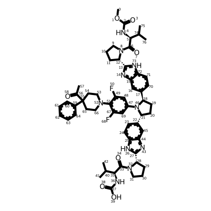 COC(=O)N[C@H](C(=O)N1CCC[C@H]1c1nc2cc([C@H]3CC[C@H](c4ccc5[nH]c([C@@H]6CCCN6C(=O)[C@@H](NC(=O)O)C(C)C)nc5c4)N3c3cc(F)c(N4CCC(C(C)=O)(c5ccccc5)CC4)c(F)c3)ccc2[nH]1)C(C)C